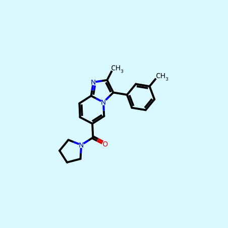 Cc1cccc(-c2c(C)nc3ccc(C(=O)N4CCCC4)cn23)c1